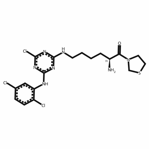 N[C@@H](CCCCNc1nc(Cl)nc(Nc2cc(Cl)ccc2Cl)n1)C(=O)N1CCSC1